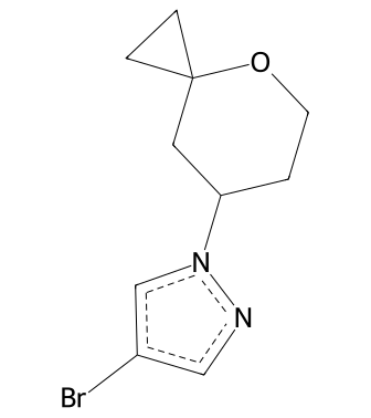 Brc1cnn(C2CCOC3(CC3)C2)c1